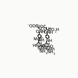 CN1c2c(nc(N)[nH]c2=O)NCC1CNc1ccc(C(=O)N[C@@H](CCC(=O)[O-])C(=O)O)cc1.CN1c2c(nc(N)[nH]c2=O)NCC1CNc1ccc(C(=O)N[C@@H](CCC(=O)[O-])C(=O)O)cc1.[Mg+2]